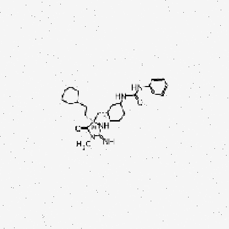 CN1C(=N)N[C@](CCC2CCCCC2)(C[C@H]2CCCC(NC(=O)Nc3ccccc3)C2)C1=O